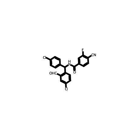 N#Cc1ccc(C(=O)NC(c2ccc(Cl)cc2)c2ccc(Cl)cc2C=O)cc1F